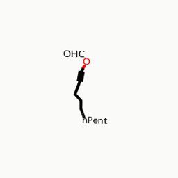 CCCCCCCCC#COC=O